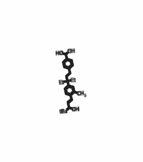 CCC(CC)(CCc1ccc(C(O)O)cc1)c1ccc(C=CC(O)C(C)(C)C)c(C)c1